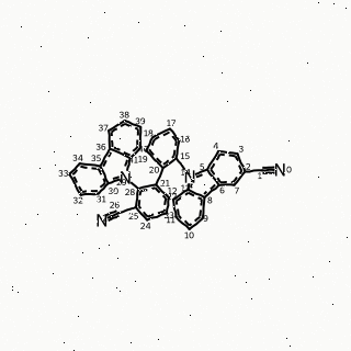 N#Cc1ccc2c(c1)c1ccccc1n2-c1ccccc1-c1cccc(C#N)c1-n1c2ccccc2c2ccccc21